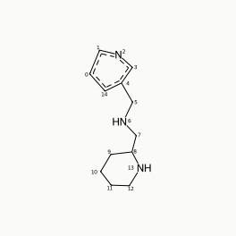 c1cncc(CNCC2CCCCN2)c1